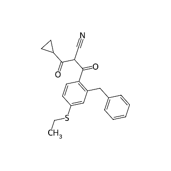 CCSc1ccc(C(=O)C(C#N)C(=O)C2CC2)c(Cc2ccccc2)c1